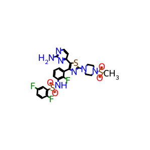 CS(=O)(=O)N1CCN(c2nc(-c3cccc(NS(=O)(=O)c4cc(F)ccc4F)c3F)c(-c3ccnc(N)n3)s2)CC1